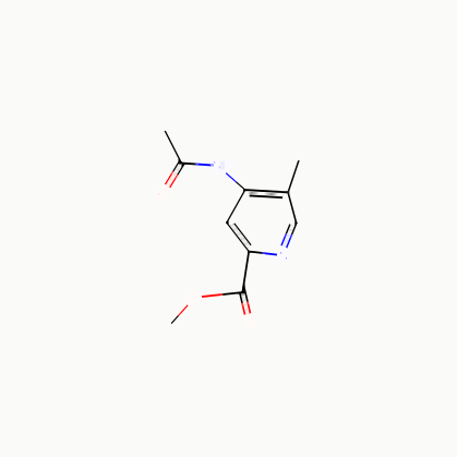 COC(=O)c1cc(NC(C)=O)c(C)cn1